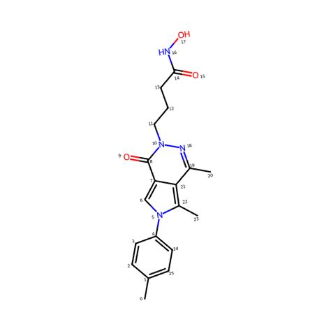 Cc1ccc(-n2cc3c(=O)n(CCCC(=O)NO)nc(C)c3c2C)cc1